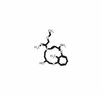 CCOC/C(=N/C)N1/C=C/C(N)=N\C2=CCC=CC(=C2C)OCC(O)CC1